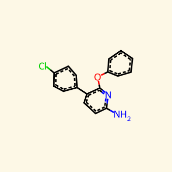 Nc1ccc(-c2ccc(Cl)cc2)c(Oc2ccccc2)n1